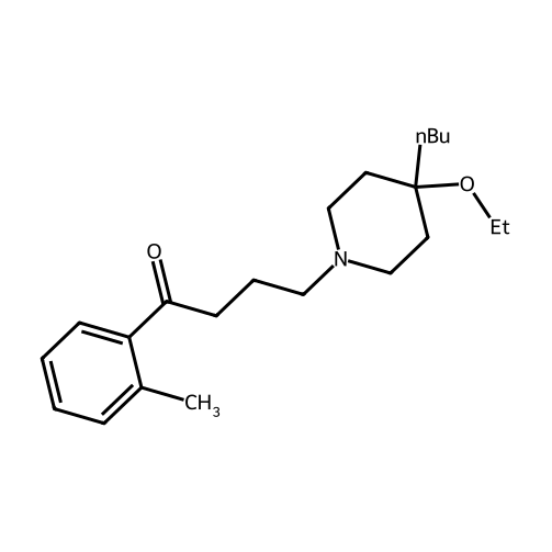 CCCCC1(OCC)CCN(CCCC(=O)c2ccccc2C)CC1